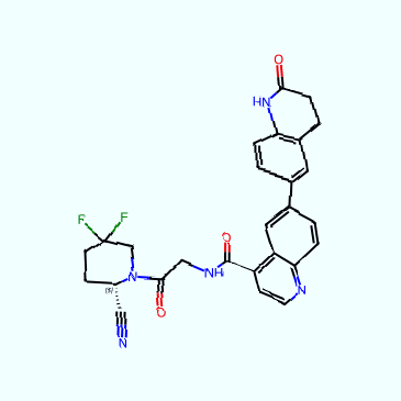 N#C[C@@H]1CCC(F)(F)CN1C(=O)CNC(=O)c1ccnc2ccc(-c3ccc4c(c3)CCC(=O)N4)cc12